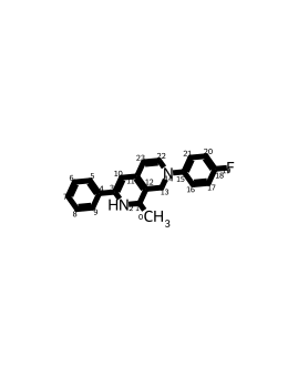 CC1NC(c2ccccc2)=CC2=C1CN(c1ccc(F)cc1)C=C2